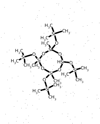 C[Si](C)(C)O[SiH]1O[Si](C)(O[Si](C)(C)C)O[Si](C)(O[Si](C)(C)C)O[Si](C)(O[Si](C)(C)C)O1